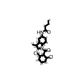 CCCC(=O)Nc1ccc2c(c1)c(C)cn2C(=O)c1c(Cl)cccc1Cl